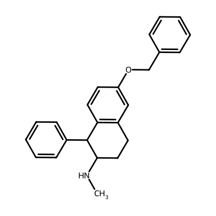 CNC1CCc2cc(OCc3ccccc3)ccc2C1c1ccccc1